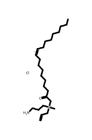 C=CC[N+](C)(CCCN)CC(=O)CCCCCCC/C=C\CCCCCCCC.[Cl-]